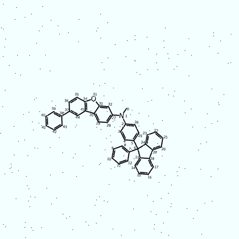 CN(c1ccc(C2(c3ccccc3)c3ccccc3-c3ccccc32)cc1)c1ccc2c(c1)oc1ccc(-c3ccccc3)cc12